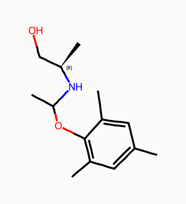 Cc1cc(C)c(OC(C)N[C@H](C)CO)c(C)c1